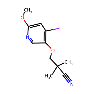 COc1cc(I)c(OCC(C)(C)C#N)cn1